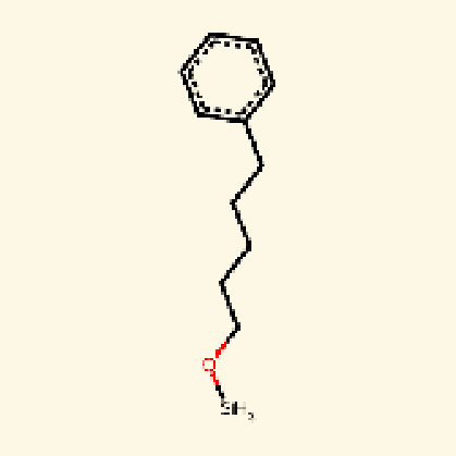 [SiH3]OCCCCCc1ccccc1